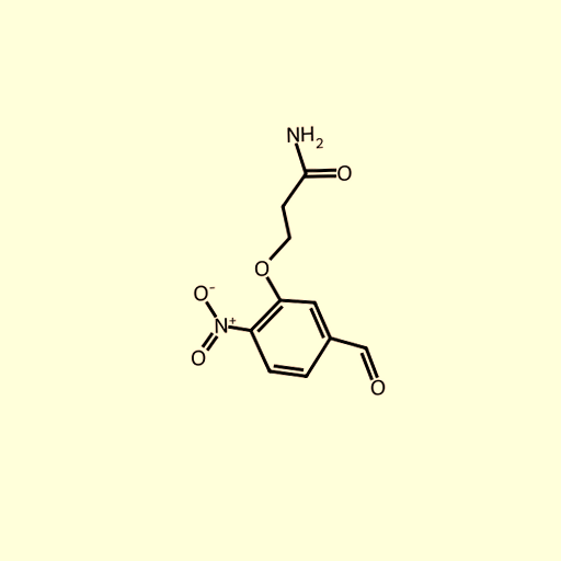 NC(=O)CCOc1cc(C=O)ccc1[N+](=O)[O-]